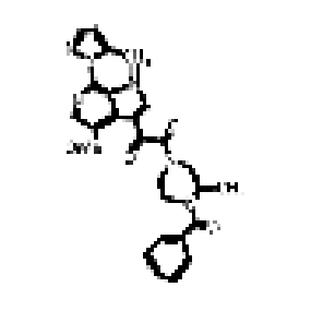 COc1cnc(-n2nccc2C)c2[nH]cc(C(=O)C(=O)N3CCN(C(=O)c4ccccc4)C(C)C3)c12